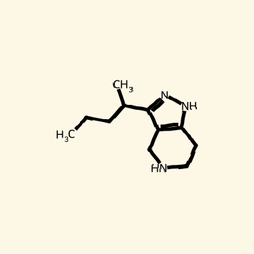 CCCC(C)c1n[nH]c2c1CNCC2